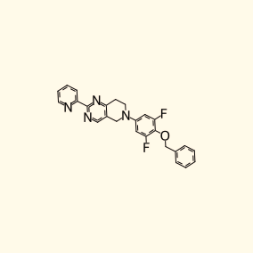 Fc1cc(N2CCc3nc(-c4ccccn4)ncc3C2)cc(F)c1OCc1ccccc1